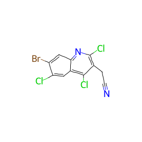 N#CCc1c(Cl)nc2cc(Br)c(Cl)cc2c1Cl